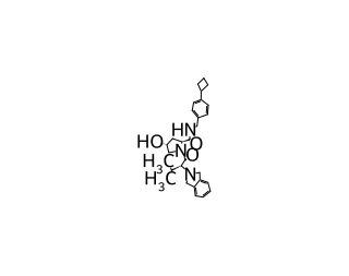 CC(C)[C@@H](C(=O)N1C[C@H](O)C[C@H]1C(=O)NCc1ccc(C2CCC2)cc1)N1Cc2ccccc2C1